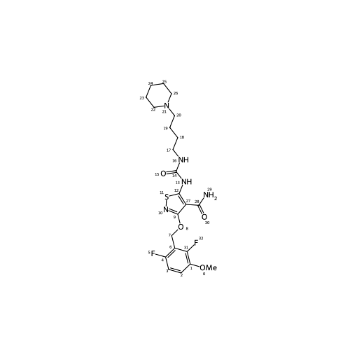 COc1ccc(F)c(COc2nsc(NC(=O)NCCCCN3CCCCC3)c2C(N)=O)c1F